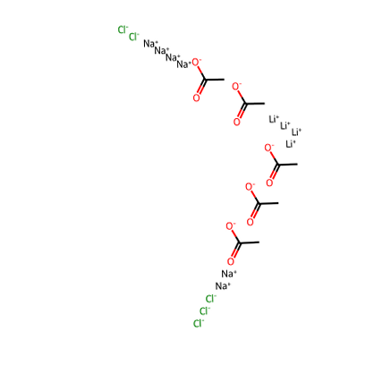 CC(=O)[O-].CC(=O)[O-].CC(=O)[O-].CC(=O)[O-].CC(=O)[O-].[Cl-].[Cl-].[Cl-].[Cl-].[Cl-].[Li+].[Li+].[Li+].[Li+].[Na+].[Na+].[Na+].[Na+].[Na+].[Na+]